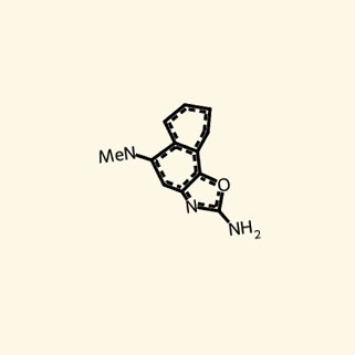 CNc1cc2nc(N)oc2c2ccccc12